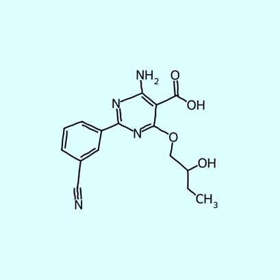 CCC(O)COc1nc(-c2cccc(C#N)c2)nc(N)c1C(=O)O